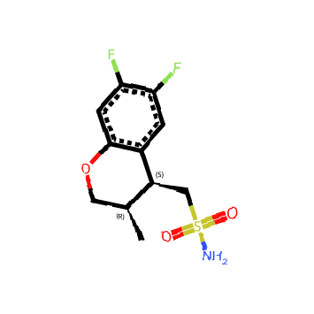 C[C@H]1COc2cc(F)c(F)cc2[C@H]1CS(N)(=O)=O